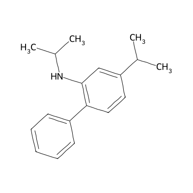 CC(C)Nc1cc(C(C)C)ccc1-c1ccccc1